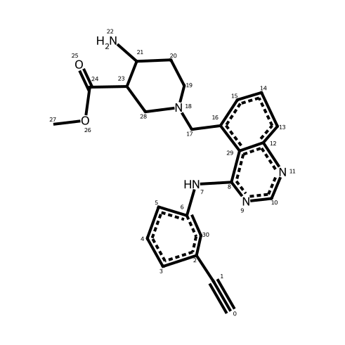 C#Cc1cccc(Nc2ncnc3cccc(CN4CCC(N)C(C(=O)OC)C4)c23)c1